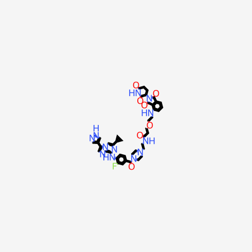 O=C(CCOCCNc1cccc2c1C(=O)N(C1CCC(=O)NC1=O)C2=O)NCCN1CCN(C(=O)c2ccc(Nc3nc(C4CC4)cn4c(-c5cn[nH]c5)cnc34)c(F)c2)CC1